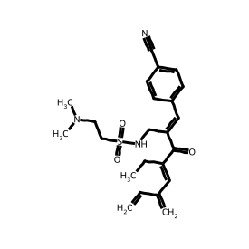 C=CC(=C)/C=C(\CC)C(=O)/C(=C/c1ccc(C#N)cc1)CNS(=O)(=O)CCN(C)C